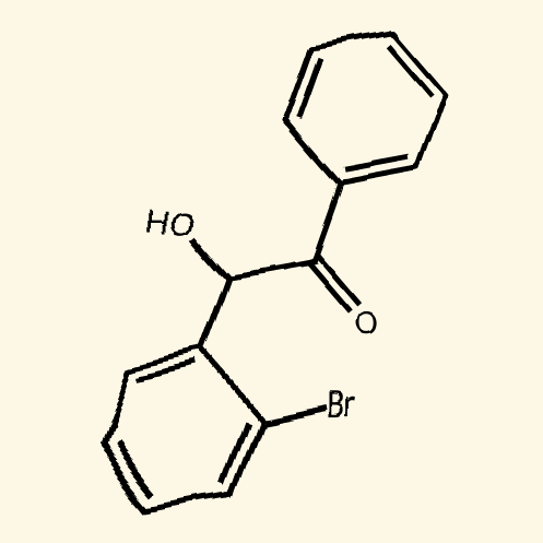 O=C(c1ccccc1)C(O)c1ccccc1Br